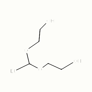 CC[C](OCCO)OCCO